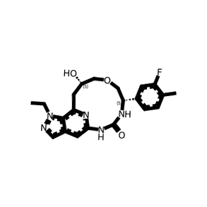 CCn1ncc2cc3nc(c21)C[C@H](O)COC[C@H](c1ccc(C)c(F)c1)NC(=O)N3